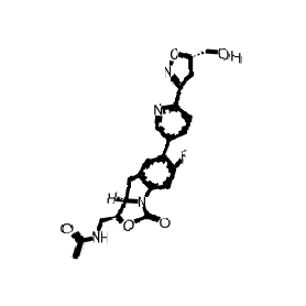 CC(=O)NC[C@@H]1OC(=O)N2c3cc(F)c(-c4ccc(C5=NO[C@H](CO)C5)nc4)cc3C[C@@H]12